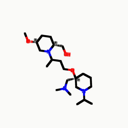 CO[C@@H]1CC[C@H](CO)N(C(C)CCO[C@@]2(CN(C)C)CCCN(C(C)C)C2)C1